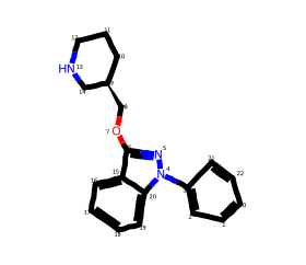 c1ccc(-n2nc(OC[C@@H]3CCCNC3)c3ccccc32)cc1